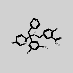 NC(=O)c1cc(CNC(Cc2ccccc2)(c2cc(F)cc(C(F)(F)F)c2)c2ccc(Cl)cn2)ccc1F